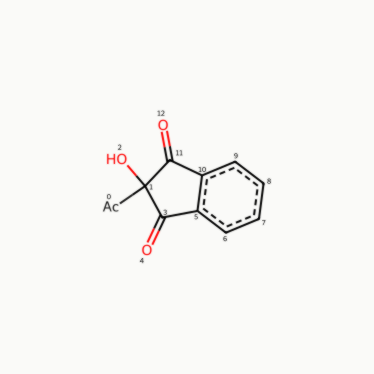 CC(=O)C1(O)C(=O)c2ccccc2C1=O